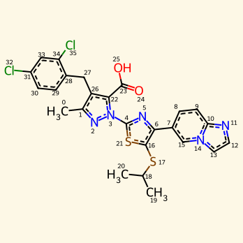 Cc1nn(-c2nc(-c3ccc4nccn4c3)c(SC(C)C)s2)c(C(=O)O)c1Cc1ccc(Cl)cc1Cl